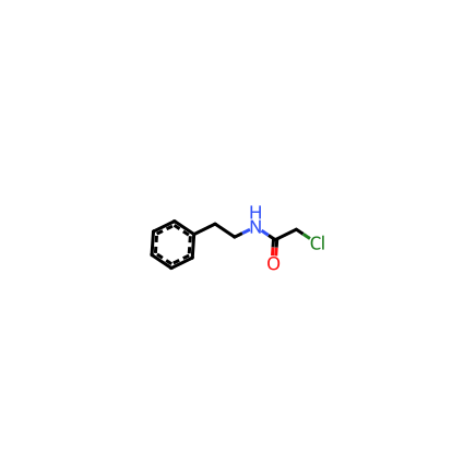 O=C(CCl)NCCc1ccccc1